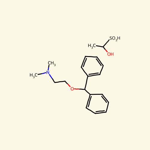 CC(O)S(=O)(=O)O.CN(C)CCOC(c1ccccc1)c1ccccc1